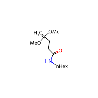 CCCCCCNC(=O)CC[Si](C)(OC)OC